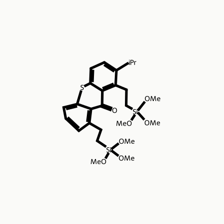 CO[Si](CCc1cccc2sc3ccc(C(C)C)c(CC[Si](OC)(OC)OC)c3c(=O)c12)(OC)OC